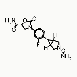 NON1C[C@@H]2[C@H](C1)[C@H]2c1ccc(N2C[C@H](C(N)=O)OC2=O)cc1F